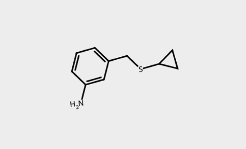 Nc1cccc(CSC2CC2)c1